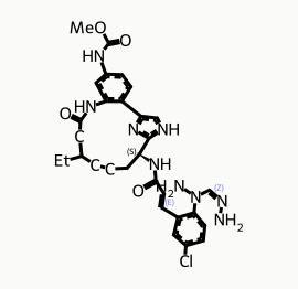 CCC1CCC[C@H](NC(=O)/C=C/c2cc(Cl)ccc2N(N)/C=N\N)c2nc(c[nH]2)-c2ccc(NC(=O)OC)cc2NC(=O)C1